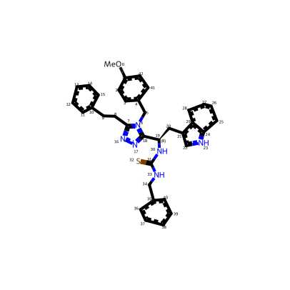 COc1ccc(Cn2c(CCc3ccccc3)nnc2[C@@H](Cc2c[nH]c3ccccc23)NC(=S)NCc2ccccc2)cc1